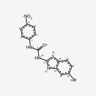 O=C(Nc1ccc([N+](=O)[O-])cc1)Nc1nc2cc(Br)ccc2s1